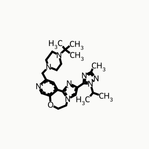 Cc1nc(-c2cn3c(n2)-c2cc(CN4CCN(C(C)(C)C)CC4)ncc2OCC3)n(C(C)C)n1